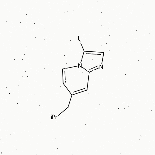 CC(C)Cc1ccn2c(I)cnc2c1